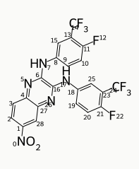 O=[N+]([O-])c1ccc2nc(Nc3ccc(F)c(C(F)(F)F)c3)c(Nc3ccc(F)c(C(F)(F)F)c3)nc2c1